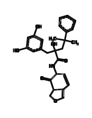 CC(C)(CC(O)(Cc1cc(O)cc(O)c1)C(=O)NC1C=CC2=COCC2C1=O)c1ccccc1